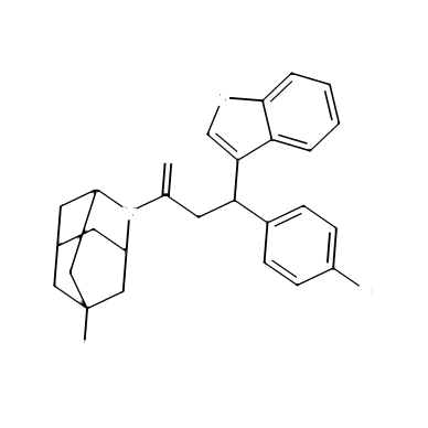 O=C(CC(c1ccc(Cl)cc1)c1c[nH]c2ccccc12)N1C2CC3CC1CC(O)(C3)C2